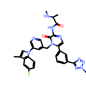 CNC(C)C(=O)Nc1ncc(-c2cccc(-c3nnn(C)n3)c2)n(Cc2cncc(-n3cc(C)c4cc(F)ccc43)c2)c1=O